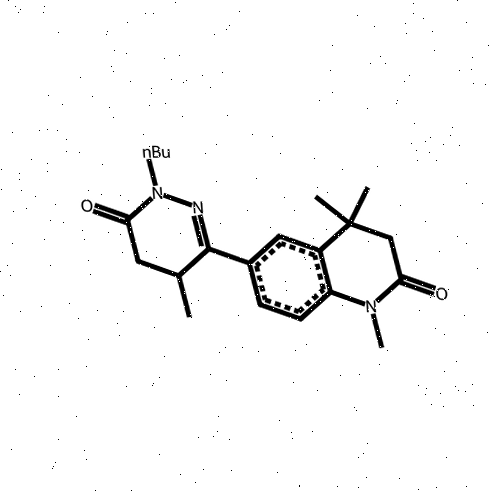 CCCCN1N=C(c2ccc3c(c2)C(C)(C)CC(=O)N3C)C(C)CC1=O